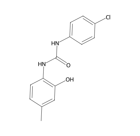 Cc1ccc(NC(=O)Nc2ccc(Cl)cc2)c(O)c1